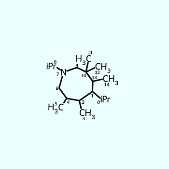 CC(C)C1C(C)C(C)CN(C(C)C)CC(C)(C)C1C